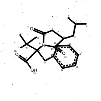 CC(C)CC1CC(=O)N(C(Cc2ccccc2)(C(=O)O)C(C)(C)C)C1=O